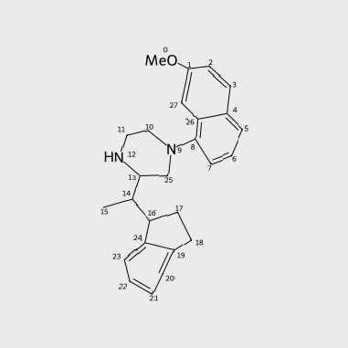 COc1ccc2cccc(N3CCNC(C(C)C4CCc5ccccc54)C3)c2c1